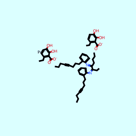 CCCC#CCCCc1ccccc1N=C(CC)C(CCCC)=Nc1ccccc1CCCC#CCCC.CCc1ccc(O)c(O)c1C(=O)[O-].CCc1ccc(O)c(O)c1C(=O)[O-].[Pd+2]